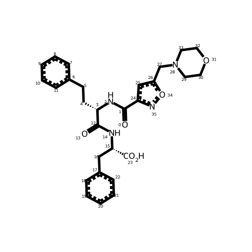 O=C(N[C@@H](CCc1ccccc1)C(=O)N[C@@H](Cc1ccccc1)C(=O)O)c1cc(CN2CCOCC2)on1